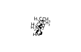 CC(C)(C)OC(=O)C(C)(N)C(=O)N1CCNCC1